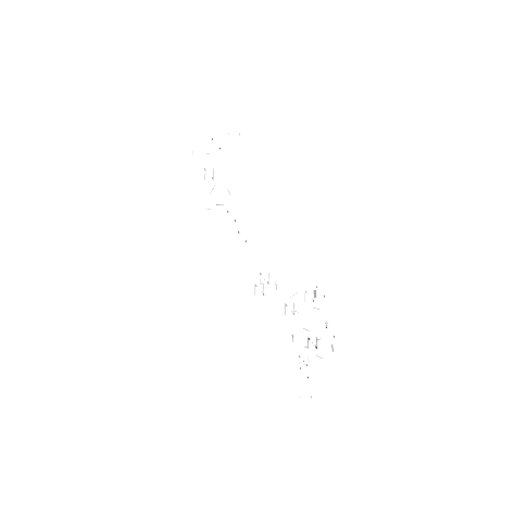 N#Cc1cnn2cc(-c3cnn([C@H]4CC[C@@H](N5CCN(c6ccc(NC7CCC(=O)NC7=O)cc6F)CC5)CC4)c3)nc(-c3ccc(N4CC5COCC(C4)N5Cc4ccccn4)nc3)c12